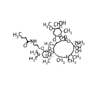 CCCC(=O)NCCCO[C@H]1[C@H](O[C@@H]2[C@@H](C)[C@H](O[C@H]3C[C@@](C)(OC)[C@@H](O)[C@H](C)O3)[C@@H](C)C(=O)O[C@H](CC)[C@@](C)(O)[C@H](O)[C@@H](C)N(C)C[C@H](C)C[C@@]2(C)O)O[C@H](C)C[C@@H]1N(C)C